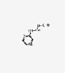 O=CONNc1cnccn1